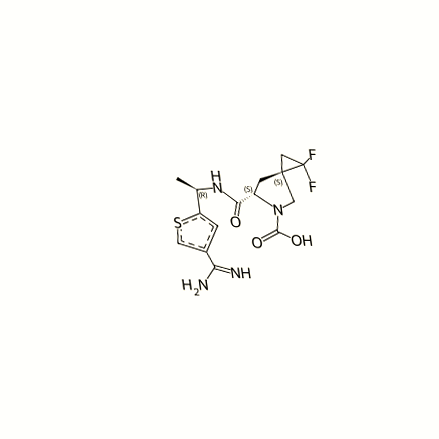 C[C@@H](NC(=O)[C@@H]1C[C@@]2(CN1C(=O)O)CC2(F)F)c1cc(C(=N)N)cs1